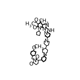 COc1ccc(CN2C(=O)CCC(c3cccc(N4CCC(C5CCN(c6ccc(Nc7ncc8c(C)c(C(C)=O)c(=O)n(C9CCCC9)c8n7)nc6)CC5)CC4)c3)C2=O)cc1